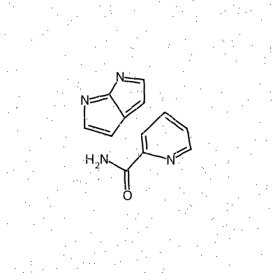 C1=CC2=CC=NC2=N1.NC(=O)c1ccccn1